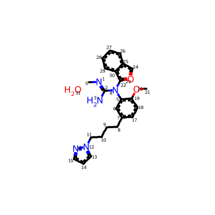 CN=C(N)N(c1cc(CCCCn2cccn2)ccc1OC)c1occ2ccccc12.O